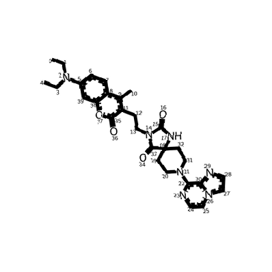 CCN(CC)c1ccc2c(C)c(CCN3C(=O)NC4(CCN(c5nccn6ccnc56)CC4)C3=O)c(=O)oc2c1